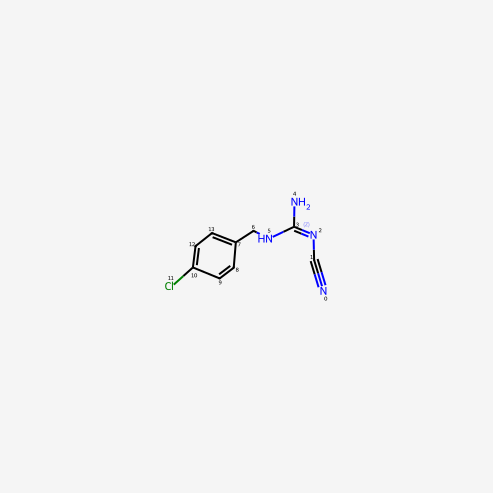 N#C/N=C(/N)NCc1ccc(Cl)cc1